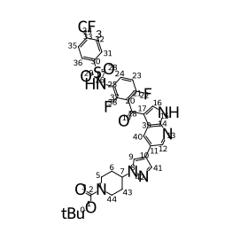 CC(C)(C)OC(=O)N1CCC(n2cc(-c3cnc4[nH]cc(C(=O)c5c(F)ccc(NS(=O)(=O)c6ccc(C(F)(F)F)cc6)c5F)c4c3)cn2)CC1